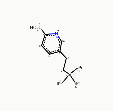 CC(C)[Si](CCc1ccc(C(=O)O)nc1)(C(C)C)C(C)C